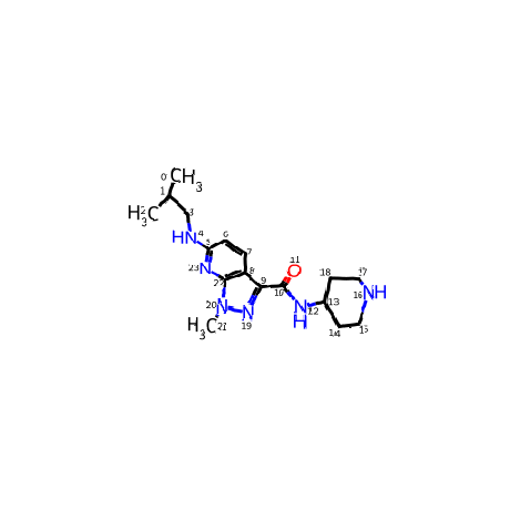 CC(C)CNc1ccc2c(C(=O)NC3CCNCC3)nn(C)c2n1